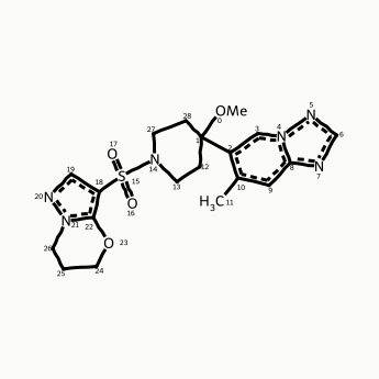 COC1(c2cn3ncnc3cc2C)CCN(S(=O)(=O)c2cnn3c2OCCC3)CC1